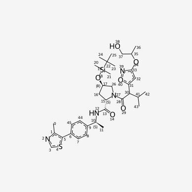 Cc1ncsc1-c1ccc([C@H](C)NC(=O)[C@@H]2C[C@@H](O[Si](C)(C)C(C)(C)C)CN2C(=O)C(c2cc(OC(C)CO)no2)C(C)C)cc1